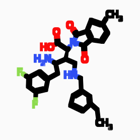 CCc1cccc(CNCC(C(N)Cc2cc(F)cc(F)c2)[C@@H](C(=O)O)N2C(=O)c3ccc(C)cc3C2=O)c1